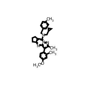 COc1ccc(-c2c(C)nn3c(N(Cc4ccc(C)cc4)CC4CC4)c4c(nc23)CCC4)c(C)c1